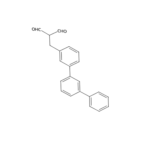 O=CC(C=O)Cc1cccc(-c2cccc(-c3ccccc3)c2)c1